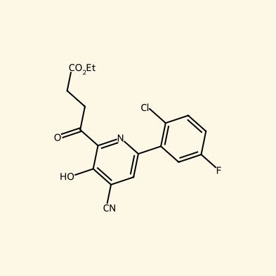 CCOC(=O)CCC(=O)c1nc(-c2cc(F)ccc2Cl)cc(C#N)c1O